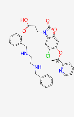 C[C@@H](Oc1cc2oc(=O)n(CCC(=O)O)c2cc1Cl)c1ccccn1.c1ccc(CNCCNCc2ccccc2)cc1